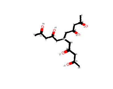 CC(=O)CC(=O)[CH2][Ir]([CH2]C(=O)CC(C)=O)[CH2]C(=O)CC(C)=O